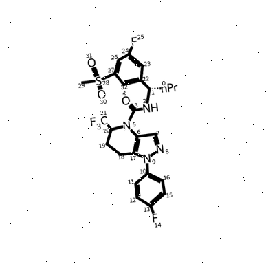 CCC[C@H](NC(=O)N1c2cnn(-c3ccc(F)cc3)c2CCC1C(F)(F)F)c1cc(F)cc(S(C)(=O)=O)c1